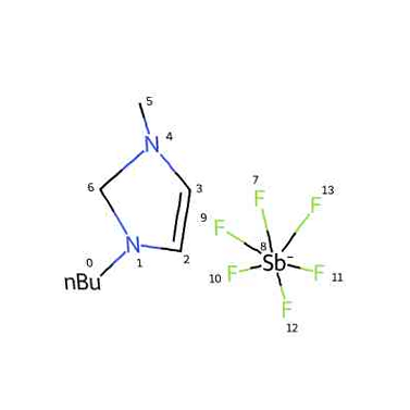 CCCCN1C=CN(C)C1.[F][Sb-]([F])([F])([F])([F])[F]